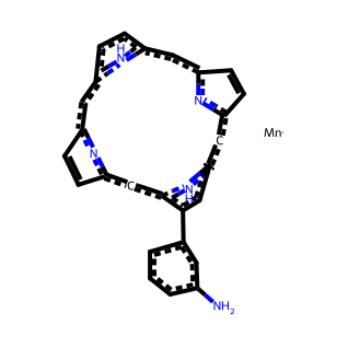 Nc1cccc(-c2cc3cc4nc(cc5ccc(cc6nc(cc2[nH]3)C=C6)[nH]5)C=C4)c1.[Mn]